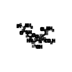 CC(C)[C@H](N)C(=O)NCC(=O)N[C@@H](CO)C(=O)N[C@@H](CCC(N)=O)C(=O)O